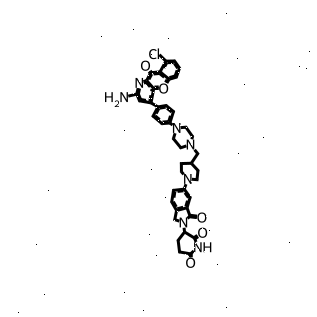 Nc1cc(-c2ccc(N3CCN(CC4CCN(c5ccc6c(c5)C(=O)N(C5CCC(=O)NC5=O)C6)CC4)CC3)cc2)c2oc3cccc(Cl)c3c(=O)c2n1